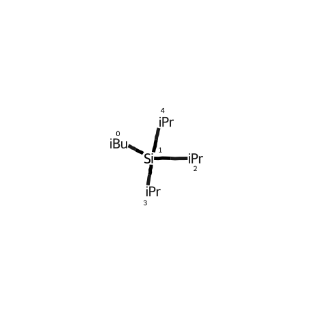 CCC(C)[Si](C(C)C)(C(C)C)C(C)C